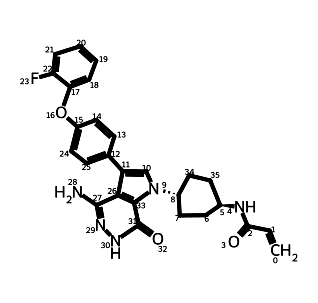 C=CC(=O)N[C@H]1CC[C@H](n2cc(-c3ccc(Oc4ccccc4F)cc3)c3c(N)n[nH]c(=O)c32)CC1